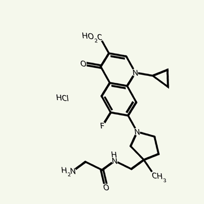 CC1(CNC(=O)CN)CCN(c2cc3c(cc2F)c(=O)c(C(=O)O)cn3C2CC2)C1.Cl